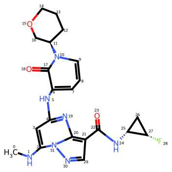 CNc1cc(Nc2cccn([C@@H]3CCCOC3)c2=O)nc2c(C(=O)N[C@@H]3C[C@@H]3F)cnn12